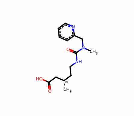 C[C@@H](CCNC(=O)N(C)Cc1ccccn1)CC(=O)O